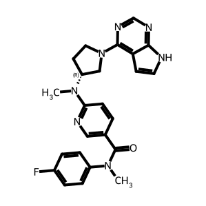 CN(C(=O)c1ccc(N(C)[C@@H]2CCN(c3ncnc4[nH]ccc34)C2)nc1)c1ccc(F)cc1